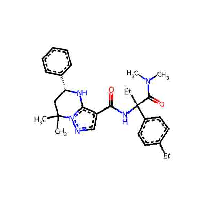 CCc1ccc(C(CC)(NC(=O)c2cnn3c2N[C@@H](c2ccccc2)CC3(C)C)C(=O)N(C)C)cc1